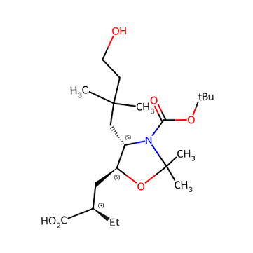 CC[C@H](C[C@@H]1OC(C)(C)N(C(=O)OC(C)(C)C)[C@H]1CC(C)(C)CCO)C(=O)O